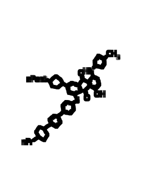 CCCCCC1CCC(c2cc(Sc3ccc(-c4ccc(C5CCC(CCC)CC5)cc4)cc3)c3c(c2)C(=O)c2c(Nc4ccc(C)cc4)ccc(O)c2C3=O)CC1